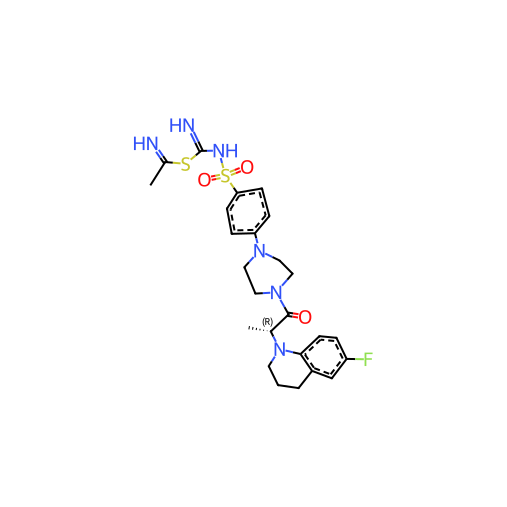 CC(=N)SC(=N)NS(=O)(=O)c1ccc(N2CCN(C(=O)[C@@H](C)N3CCCc4cc(F)ccc43)CC2)cc1